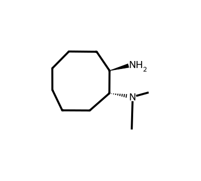 CN(C)[C@@H]1CCCCCC[C@H]1N